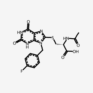 CC(=O)N[C@@H](CSc1nc2c(=O)[nH]c(=O)[nH]c2n1Cc1ccc(F)cc1)C(=O)O